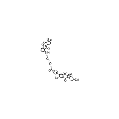 CCc1cc2c(cc1N1CCN(C(=O)CCOCCOCCNc3cccc4c3C(=O)N(C3CCC(=O)NC3=O)C4=O)CC1)C(C)(C)c1[nH]c3c(c1C2=O)CCC(C#N)=C3